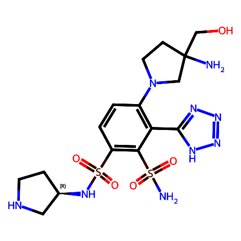 NC1(CO)CCN(c2ccc(S(=O)(=O)N[C@@H]3CCNC3)c(S(N)(=O)=O)c2-c2nnn[nH]2)C1